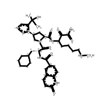 CC(C)(O)c1cnnn1[C@H]1C[C@@H](C(=O)NC(CCCCNC(=O)O)C(=O)C(N)=O)N(C(=O)[C@@H](CC2CCCCC2)NC(=O)c2ccc3[nH]c(=O)ccc3c2)C1